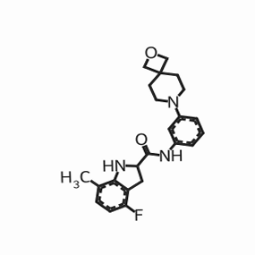 Cc1ccc(F)c2c1NC(C(=O)Nc1cccc(N3CCC4(CC3)COC4)c1)C2